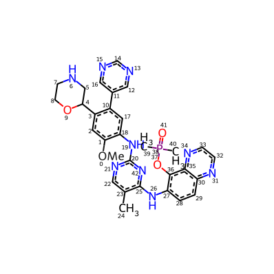 COc1cc(C2CNCCO2)c(-c2cncnc2)cc1Nc1ncc(C)c(Nc2ccc3nccnc3c2OP(C)(C)=O)n1